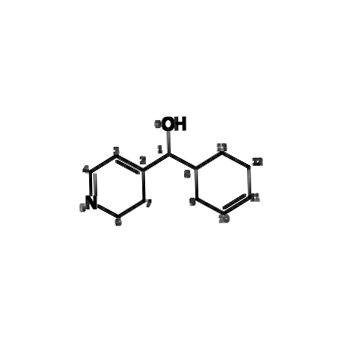 OC(C1=CC=NCC1)C1CC=CCC1